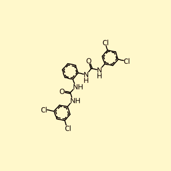 O=C(Nc1cc(Cl)cc(Cl)c1)Nc1ccccc1NC(=O)Nc1cc(Cl)cc(Cl)c1